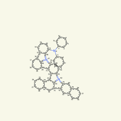 c1ccc(N(c2ccccc2)c2cccc3c4cccc5c6c7c8c9ccccc9cc9c%10cc%11ccccc%11cc%10n(c7ccc6n(c23)c45)c98)cc1